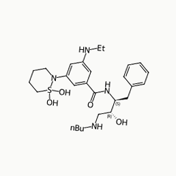 CCCCNC[C@@H](O)[C@H](Cc1ccccc1)NC(=O)c1cc(NCC)cc(N2CCCCS2(O)O)c1